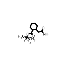 CC(C)(C)OC(=O)C1CCCCC1CC([NH])=O